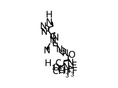 COC(C)(C)c1cc(C(=O)N2CCN([C@H]3C[C@@](CC#N)(n4cc(-c5ncnc6[nH]ccc56)cn4)C3)CC2)nc(C(F)(F)F)n1